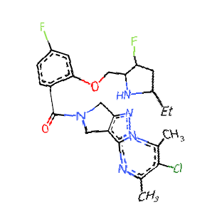 CCC1CC(F)C(COc2cc(F)ccc2C(=O)N2Cc3nn4c(C)c(Cl)c(C)nc4c3C2)N1